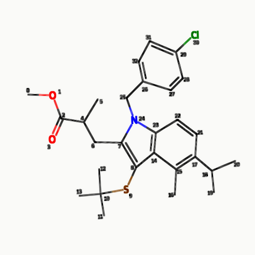 COC(=O)C(C)Cc1c(SC(C)(C)C)c2c(C)c(C(C)C)ccc2n1Cc1ccc(Cl)cc1